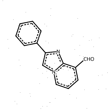 O=Cc1cccn2cc(-c3ccccc3)nc12